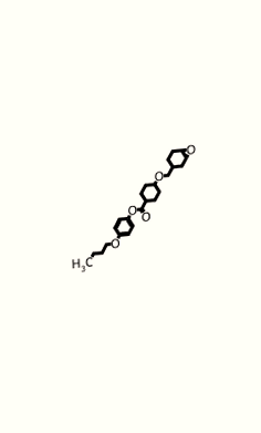 CCCCOc1ccc(OC(=O)C2CCC(OCC3CCC4OC4C3)CC2)cc1